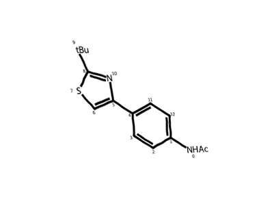 CC(=O)Nc1ccc(-c2csc(C(C)(C)C)n2)cc1